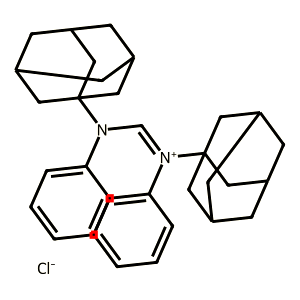 C(N(c1ccccc1)C12CC3CC(CC(C3)C1)C2)=[N+](c1ccccc1)C12CC3CC(CC(C3)C1)C2.[Cl-]